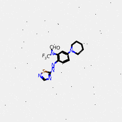 O=CN(c1cc(N2CCCCC2)ccc1N=Nc1ncns1)C(F)(F)F